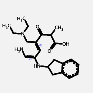 CCN(CC)C/C(=C\C(=C/N)NC1Cc2ccccc2C1)C(=O)C(C)C(=O)O